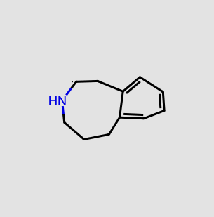 [CH]1Cc2ccccc2CCCN1